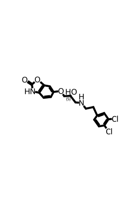 O=c1[nH]c2ccc(OC[C@@H](O)CNCCc3ccc(Cl)c(Cl)c3)cc2o1